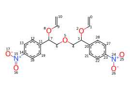 C=COC(COCC(OC=C)c1ccc([N+](=O)[O-])cc1)c1ccc([N+](=O)[O-])cc1